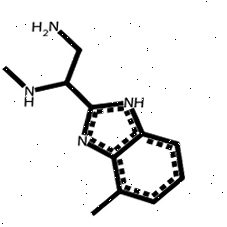 CNC(CN)c1nc2c(C)cccc2[nH]1